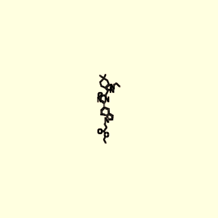 CCOC(=O)CCn1ccc2cc(-c3noc(-c4nn(CC)c5c4CCC(C)(C)C5)n3)ccc21